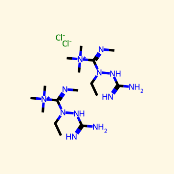 CCN(NC(=N)N)/C(=N\C)[N+](C)(C)C.CCN(NC(=N)N)/C(=N\C)[N+](C)(C)C.[Cl-].[Cl-]